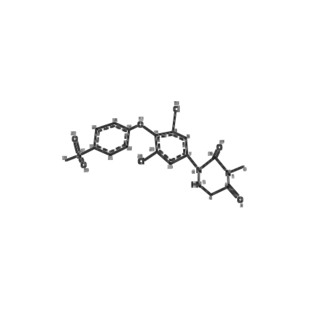 CN1C(=O)CNN(c2cc(Cl)c(Oc3ccc(S(C)(=O)=O)cc3)c(Cl)c2)C1=O